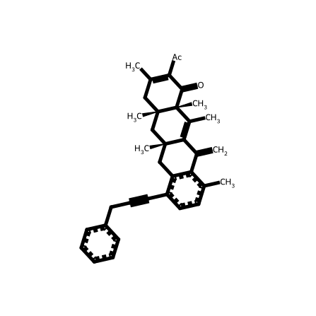 C=C1C2=C(C)[C@@]3(C)C(=O)C(C(C)=O)=C(C)C[C@@]3(C)C[C@@]2(C)Cc2c(C#CCc3ccccc3)ccc(C)c21